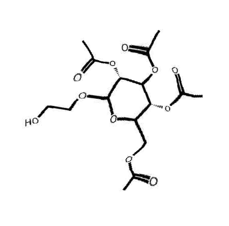 CC(=O)OCC1OC(OCCO)[C@H](OC(C)=O)C(OC(C)=O)[C@@H]1OC(C)=O